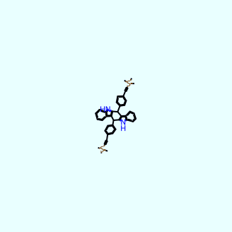 CS(C)(C)C#Cc1ccc(C2c3[nH]c4ccccc4c3C(c3ccc(C#CS(C)(C)C)cc3)c3[nH]c4ccccc4c32)cc1